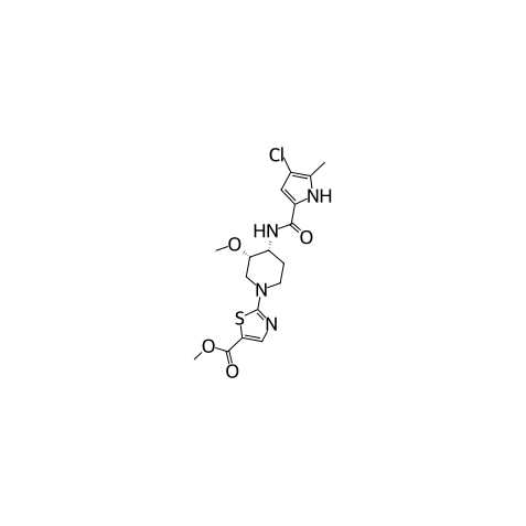 COC(=O)c1cnc(N2CC[C@@H](NC(=O)c3cc(Cl)c(C)[nH]3)[C@@H](OC)C2)s1